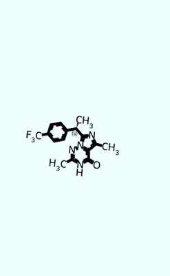 Cc1nn2c([C@@H](C)c3ccc(C(F)(F)F)cc3)nc(C)c2c(=O)[nH]1